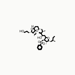 C=C([C@H](C)C[C@H]1CC[C@@H]2O[C@@H](CCCO)C[C@]2(CI)O1)[C@H](O)CC1O[C@H](C[C@H](C)CC)[C@H](C)[C@H]1CS(=O)(=O)c1ccccc1